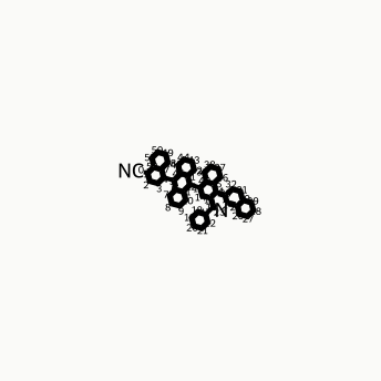 N#Cc1ccc(-c2c3ccccc3c(-c3cc4c(-c5ccccc5)nc5c6ccccc6ccc5c4c4ccccc34)c3ccccc23)c2ccccc12